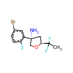 CC(F)(F)[C@@H]1[CH][C@](N)(c2cc(Br)ccc2F)CO1